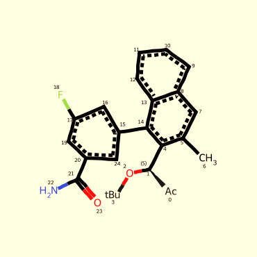 CC(=O)[C@@H](OC(C)(C)C)c1c(C)cc2ccccc2c1-c1cc(F)cc(C(N)=O)c1